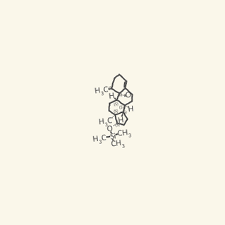 C[C@H]1CCC=C2CC[C@H]3[C@@H]4CC[C@H](O[Si](C)(C)C)[C@@]4(C)CC[C@@H]3[C@]21C=O